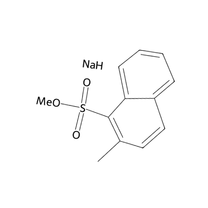 COS(=O)(=O)c1c(C)ccc2ccccc12.[NaH]